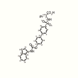 CC(C)[C@@H](NS(=O)(=O)c1ccc(-c2ccc(OC(=O)Nc3csc4ccccc34)cc2)cc1)C(=O)O